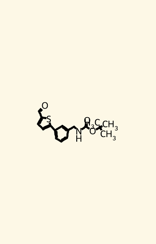 CC(C)(C)OC(=O)NCc1cccc(-c2ccc(C=O)s2)c1